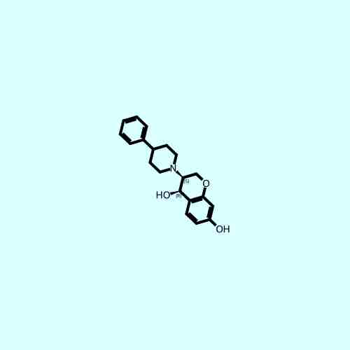 Oc1ccc2c(c1)OC[C@H](N1CCC(c3ccccc3)CC1)[C@@H]2O